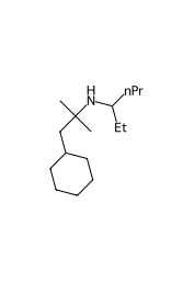 CCCC(CC)NC(C)(C)CC1CCCCC1